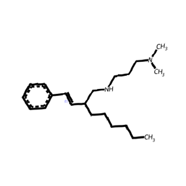 CCCCCCC(/C=C/c1ccccc1)CNCCCN(C)C